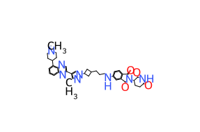 Cc1nn(C2CC(CCCNc3ccc4c(c3)C(=O)N(C3CCC(=O)NC3=O)C4=O)C2)cc1-c1cnc2c(C3CCN(C)CC3)cccc2n1